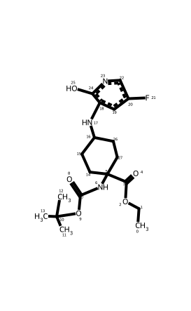 CCOC(=O)C1(NC(=O)OC(C)(C)C)CCC(Nc2cc(F)cnc2O)CC1